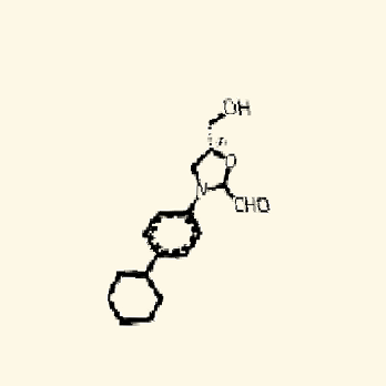 O=CC1O[C@@H](CO)CN1c1ccc(C2CCCCC2)cc1